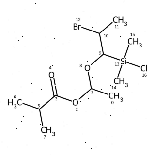 CC(OC(=O)C(C)C)OC(C(C)Br)[Si](C)(C)Cl